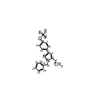 CCc1cc(-c2ccc(OC(F)(F)F)cc2)nn1Cc1ccccc1